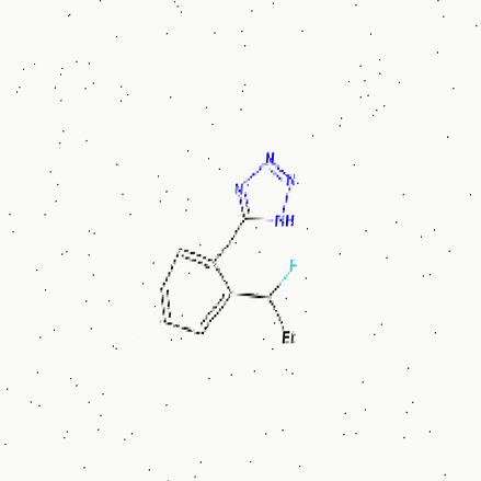 CCC(F)c1c[c]ccc1-c1nnn[nH]1